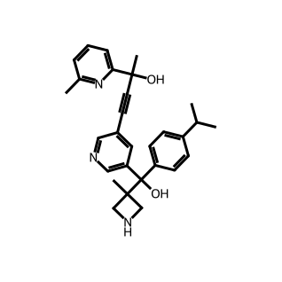 Cc1cccc(C(C)(O)C#Cc2cncc(C(O)(c3ccc(C(C)C)cc3)C3(C)CNC3)c2)n1